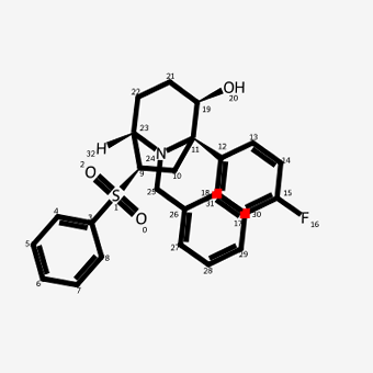 O=S(=O)(c1ccccc1)[C@@H]1C[C@@]2(c3ccc(F)cc3)[C@H](O)CC[C@@H]1N2Cc1ccccc1